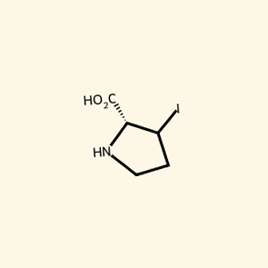 O=C(O)[C@H]1NCCC1I